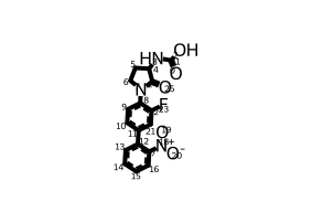 O=C(O)NC1CCN(c2ccc(-c3ccccc3[N+](=O)[O-])cc2F)C1=O